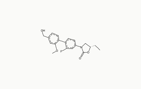 CC[C@H]1CN(c2ccc(-c3ccc(CO)cc3OC)c(F)c2)C(=O)O1